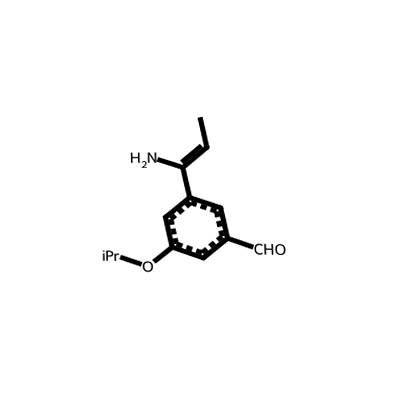 C/C=C(\N)c1cc(C=O)cc(OC(C)C)c1